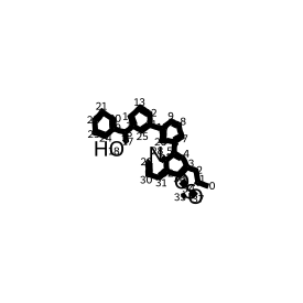 CC(Cc1cc(-c2cccc(-c3cccc(C(CO)c4ccccc4)c3)c2)c2ncccc2c1)S(C)(=O)=O